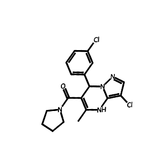 CC1=C(C(=O)N2CCCC2)C(c2cccc(Cl)c2)n2ncc(Cl)c2N1